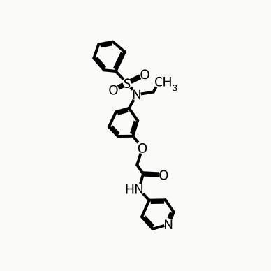 CCN(c1cccc(OCC(=O)Nc2ccncc2)c1)S(=O)(=O)c1ccccc1